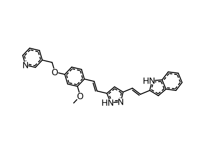 COc1cc(OCc2cccnc2)ccc1C=Cc1cc(C=Cc2cc3ccccc3[nH]2)n[nH]1